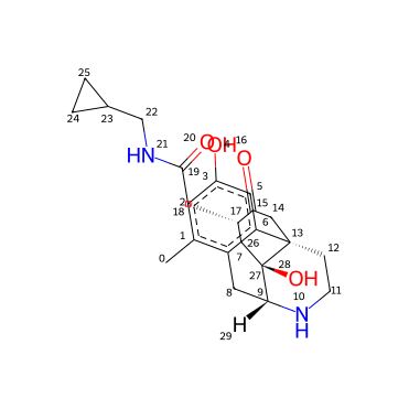 Cc1cc(O)cc2c1C[C@H]1NCC[C@@]23CC(=O)[C@@H](CC(=O)NCC2CC2)C[C@@]13O